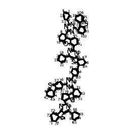 c1ccc(-c2nc(-c3cccc4oc5c(-c6nc(-c7ccccc7)c7sc8c(-c9ccc(-c%10nc(-c%11ccc%12sc%13ccccc%13c%12c%11)nc(-c%11cccc%12oc%13c(-c%14nc(-c%15ccccc%15)c%15sc%16ccccc%16c%15n%14)cccc%13c%11%12)n%10)cc9)cccc8c7n6)cccc5c34)nc(-c3cccc4sc5ccccc5c34)n2)cc1